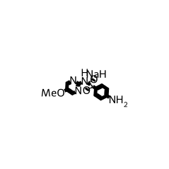 COc1cnc(NS(=O)(=O)c2ccc(N)cc2)nc1.[NaH]